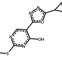 CSc1ncc(-c2nnc(C3CC3)o2)c(O)n1